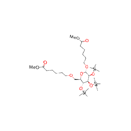 COC(=O)CCCCCOC[C@H]1O[C@H](OCCCCCC(=O)OC)[C@@H](O[Si](C)(C)C)[C@@H](O[Si](C)(C)C)[C@@H]1O[Si](C)(C)C